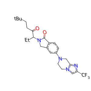 CCC(C(=O)CCC(C)(C)C)N1Cc2cc(N3CCn4cc(C(F)(F)F)nc4C3)ccc2C1=O